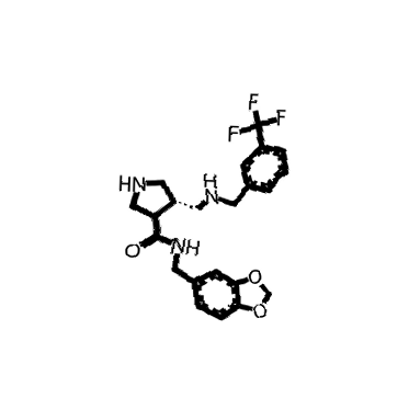 O=C(NCc1ccc2c(c1)OCO2)C1CNC[C@@H]1CNCc1cccc(C(F)(F)F)c1